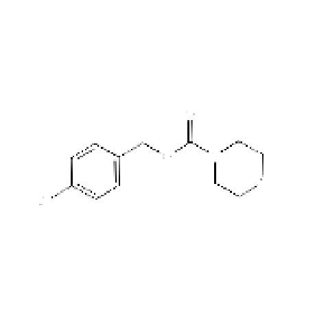 O=C(OCc1ccc(Br)cc1)N1CCNCC1